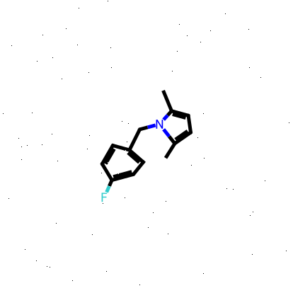 Cc1ccc(C)n1Cc1ccc(F)cc1